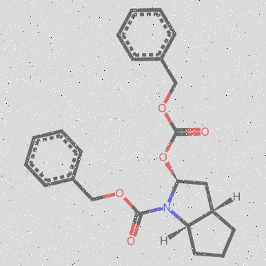 O=C(OCc1ccccc1)O[C@H]1C[C@@H]2CCC[C@@H]2N1C(=O)OCc1ccccc1